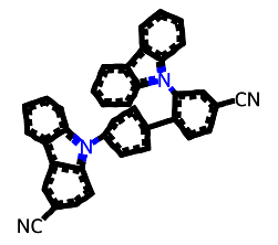 N#Cc1ccc(-c2ccc(-n3c4ccccc4c4cc(C#N)ccc43)cc2)c(-n2c3ccccc3c3ccccc32)c1